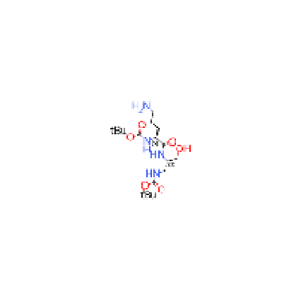 CC(C)(C)OC(=O)NC[C@@H](CO)NC(=O)[C@H](CCCN)NC(=O)OC(C)(C)C